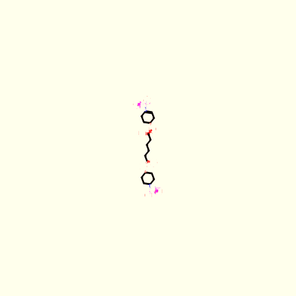 O=C(CCCCC(=O)OC1CCC([N+](=O)[O-])CC1)OC1CC=C([N+](=O)[O-])CC1